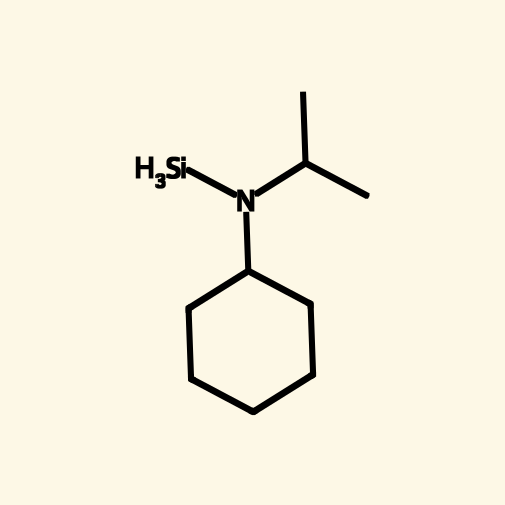 CC(C)N([SiH3])C1CCCCC1